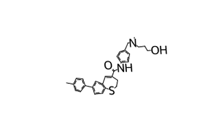 Cc1ccc(-c2ccc3c(c2)C=C(C(=O)Nc2ccc(CN(C)CCCO)cc2)CCS3)cc1